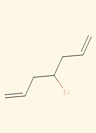 C=CCC(Br)CC=C